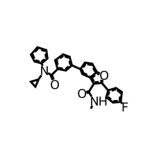 CNC(=O)c1c(-c2ccc(F)cc2)oc2ccc(-c3cccc(C(=O)N(c4ccccc4)C4CC4)c3)cc12